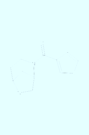 O=C(c1ccoc1)N1CCC2CC1CN2